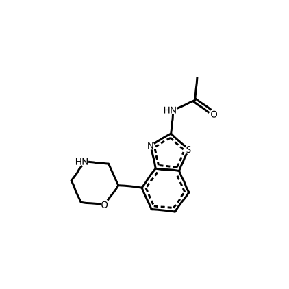 CC(=O)Nc1nc2c(C3CNCCO3)cccc2s1